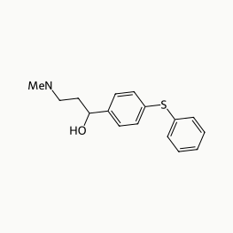 CNCCC(O)c1ccc(Sc2ccccc2)cc1